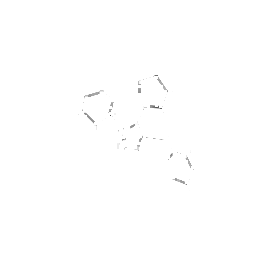 Fc1ccc(Cc2c[nH]c(-c3ccccc3)c2-c2ccccc2)cc1